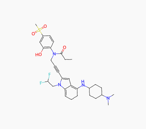 CCC(=O)N(CC#Cc1cc2c(n1CC(F)F)=CCCC=2NC1CCC(N(C)C)CC1)c1ccc(S(C)(=O)=O)cc1O